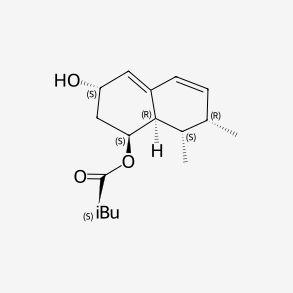 CC[C@H](C)C(=O)O[C@H]1C[C@H](O)C=C2C=C[C@H](C)[C@H](C)[C@H]21